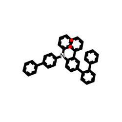 c1ccc(-c2ccc(N(c3ccccc3)c3ccc(-c4ccccc4-c4ccccc4)cc3-c3ccccc3)cc2)cc1